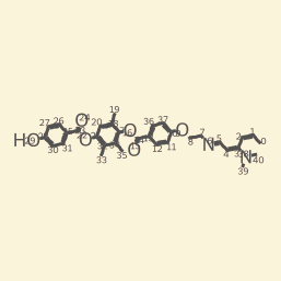 C\C=C/C(=C\C=N\CCOc1ccc(C(=O)Oc2c(C)cc(OC(=O)c3ccc(O)cc3)c(C)c2C)cc1)N(C)C